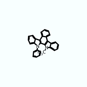 Cn1c2ccccc2c2c3ccccc3c3c4ccccc4n(-c4ccccc4)c3c21